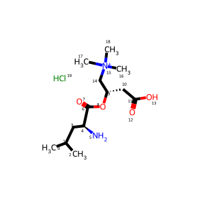 CC(C)C[C@H](N)C(=O)O[C@@H](CC(=O)O)C[N+](C)(C)C.Cl